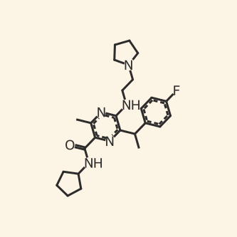 Cc1nc(NCCN2CCCC2)c(C(C)c2ccc(F)cc2)nc1C(=O)NC1CCCC1